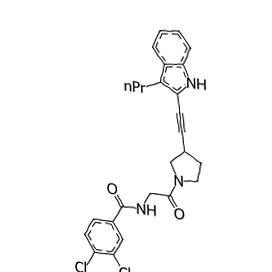 CCCc1c(C#CC2CCN(C(=O)CNC(=O)c3ccc(Cl)c(Cl)c3)C2)[nH]c2ccccc12